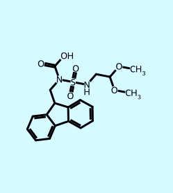 COC(CNS(=O)(=O)N(CC1c2ccccc2-c2ccccc21)C(=O)O)OC